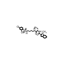 CC(C)C[C@H](NC(=O)c1cc2ccccc2n1C)C(=O)NCCCCNS(=O)(=O)c1ccc(Cl)cc1Cl